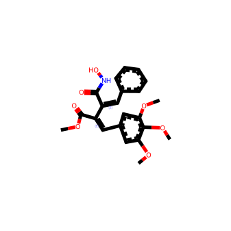 COC(=O)C(=C/c1cc(OC)c(OC)c(OC)c1)/C(=C/c1ccccc1)C(=O)NO